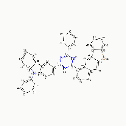 c1ccc(-c2nc(-c3ccc4c(c3)c3ccccc3n4-c3ccccc3)nc(-c3cccc4cc5sc6ccccc6c5cc34)n2)cc1